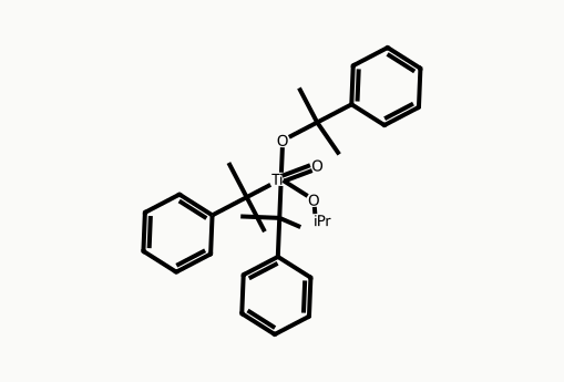 CC(C)[O][Ti](=[O])([O]C(C)(C)c1ccccc1)([C](C)(C)c1ccccc1)[C](C)(C)c1ccccc1